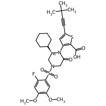 COc1cc(F)c(S(=O)(=O)N2CC(=O)N(c3cc(C#CC(C)(C)C)sc3C(=O)O)[C@H](C3CCCCC3)C2)cc1OC